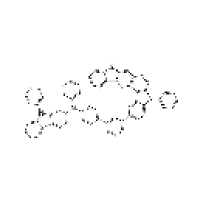 c1ccc(N(c2ccc(-c3cccc(-c4ccc5c(c4)c4c6cc7c(cc6ccc4n5-c4ccccc4)sc4ccccc47)c3)cc2)c2ccc3c4ccccc4n(-c4ccccc4)c3c2)cc1